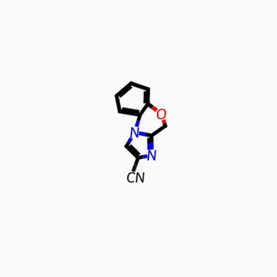 N#Cc1cn2c(n1)COc1ccccc1-2